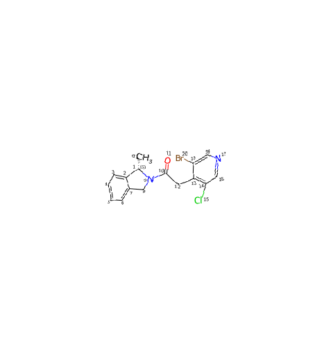 C[C@H]1c2ccccc2CN1C(=O)Cc1c(Cl)cncc1Br